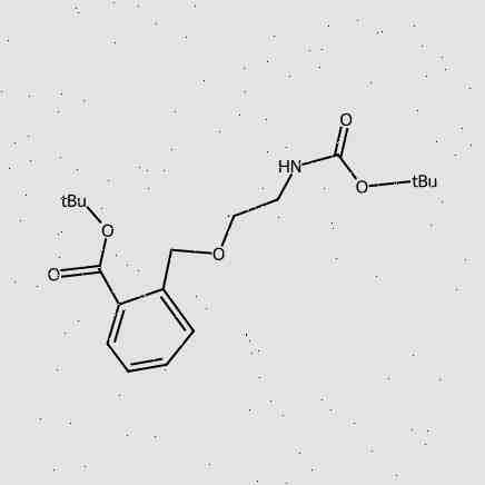 CC(C)(C)OC(=O)NC[CH]OCc1ccccc1C(=O)OC(C)(C)C